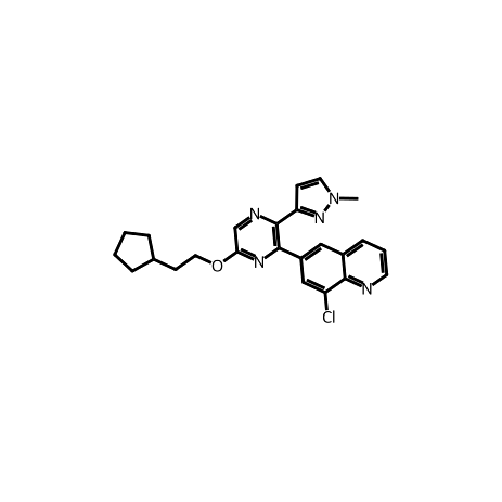 Cn1ccc(-c2ncc(OCCC3CCCC3)nc2-c2cc(Cl)c3ncccc3c2)n1